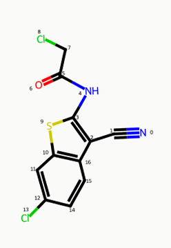 N#Cc1c(NC(=O)CCl)sc2cc(Cl)ccc12